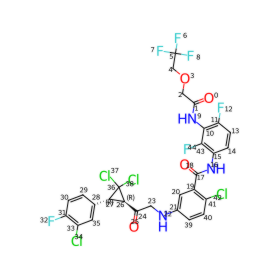 O=C(COCC(F)(F)F)Nc1c(F)ccc(NC(=O)c2cc(NCC(=O)[C@H]3[C@H](c4ccc(F)c(Cl)c4)C3(Cl)Cl)ccc2Cl)c1F